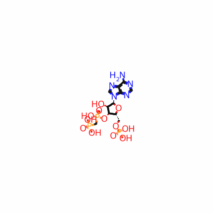 Nc1ncnc2c1ncn2[C@@H]1O[C@H](COP(=O)(O)O)[C@@H](OP(=O)(O)CP(=O)(O)O)[C@H]1O